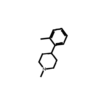 Cc1ccccc1C1CCN(C)CC1